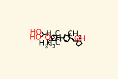 CCC(CC)(c1ccc(C=CC2(O)CCCC2)c(C)c1)c1ccc(OCC(CO)CO)c(C)c1